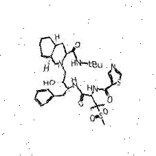 CC(C)(C)NC(=O)[C@@H]1C[C@@H]2CCCC[C@@H]2CN1C[C@@H](O)[C@H](Cc1ccccc1)NC(=O)[C@@H](NC(=O)c1cncs1)C(C)(C)S(C)(=O)=O